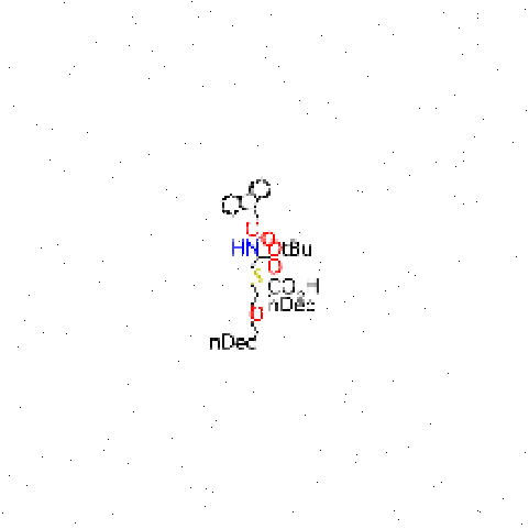 CCCCCCCCCCCCOCC(CSCC(NC(=O)OCC1c2ccccc2-c2ccccc21)C(=O)OC(C)(C)C)C(CCCCCCCCCC)C(=O)O